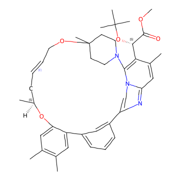 COC(=O)[C@@H](OC(C)(C)C)c1c(C)cc2nc3cn2c1N1CCC(C)(CC1)OC/C=C/C[C@H](C)Oc1cc(C)c(C)cc1-c1cccc-3c1